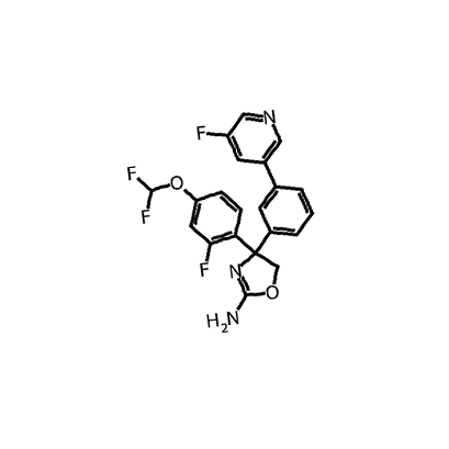 NC1=NC(c2cccc(-c3cncc(F)c3)c2)(c2ccc(OC(F)F)cc2F)CO1